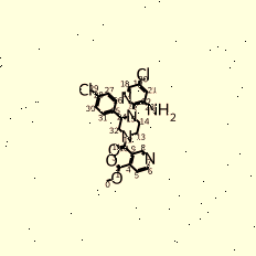 COC(=O)c1ccncc1C(=O)N1CCN(c2ncc(Cl)cc2N)C(c2ccc(Cl)cc2)C1